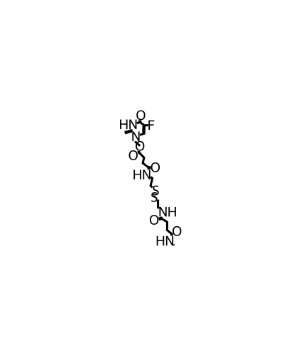 C=C1NC(=O)C(F)=CN1COC(=O)CCC(=O)NCCSSCCNC(=O)CCC(=O)NC